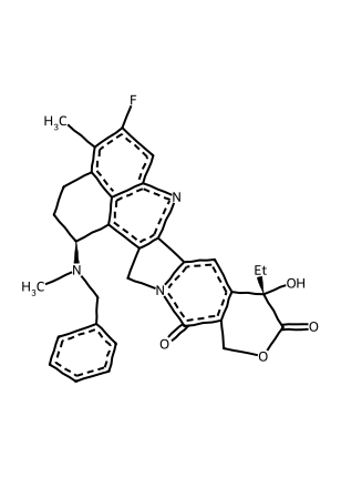 CC[C@@]1(O)C(=O)OCc2c1cc1n(c2=O)Cc2c-1nc1cc(F)c(C)c3c1c2[C@@H](N(C)Cc1ccccc1)CC3